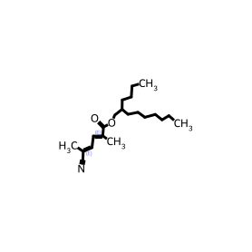 CCCCCCCC(CCCC)COC(=O)/C(C)=C/C=C(\C)C#N